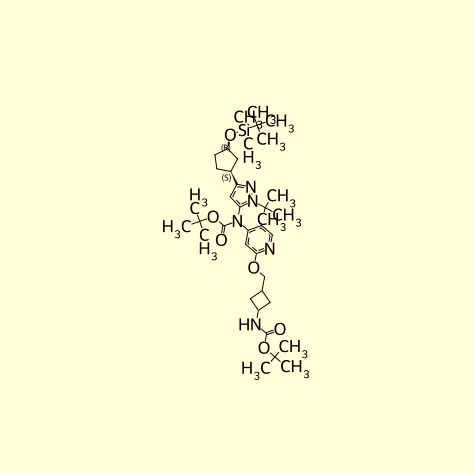 CC(C)(C)OC(=O)NC1CC(COc2cc(N(C(=O)OC(C)(C)C)c3cc([C@H]4CC[C@@H](O[Si](C)(C)C(C)(C)C)C4)nn3C(C)(C)C)ccn2)C1